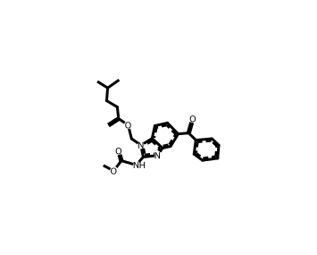 C=C(CCC(C)C)OCn1c(NC(=O)OC)nc2cc(C(=O)c3ccccc3)ccc21